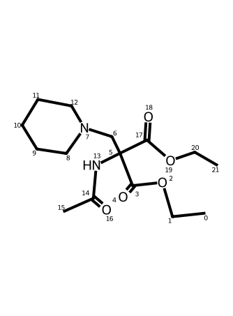 CCOC(=O)C(CN1CCCCC1)(NC(C)=O)C(=O)OCC